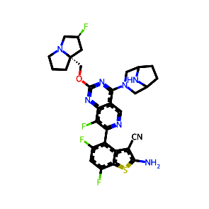 N#Cc1c(N)sc2c(F)cc(F)c(-c3ncc4c(N5CC6CCC(C5)N6)nc(OC[C@]56CCCN5C[C@@H](F)C6)nc4c3F)c12